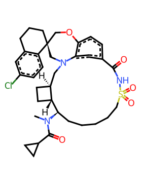 CN(C(=O)C1CC1)[C@@H]1CCCCCS(=O)(=O)NC(=O)c2ccc3c(c2)N(C[C@@H]2CC[C@H]21)C[C@@]1(CCCc2cc(Cl)ccc21)CO3